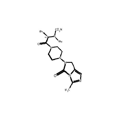 Cc1ncc2n1C(=O)N(N1CCN(C(=O)[C@@H](C(C)C)N(C(=O)O)C(C)(C)C)CC1)C2